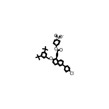 CC(C)(C)c1cc(COc2ccc3cc(-c4ccc(Cl)cc4)ccc3c2C#CC(=O)Oc2ccc([N+](=O)[O-])cc2)cc(C(C)(C)C)c1